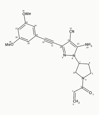 C=CC(=O)N1CCC(n2nc(C#Cc3cc(OC)cc(OC)c3)c(C#N)c2N)C1